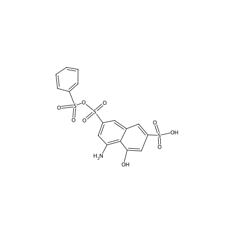 Nc1cc(S(=O)(=O)OS(=O)(=O)c2ccccc2)cc2cc(S(=O)(=O)O)cc(O)c12